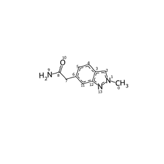 Cn1cc2ccc(CC(N)=O)cc2n1